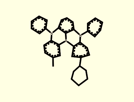 Cc1ccc2c(c1)B1c3cc(C4CCCCC4)ccc3N(c3ccccc3)c3cccc(c31)N2c1ccccc1